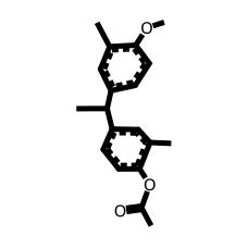 COc1ccc(C(C)c2ccc(OC(C)=O)c(C)c2)cc1C